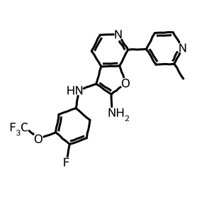 Cc1cc(-c2nccc3c(NC4C=C(OC(F)(F)F)C(F)=CC4)c(N)oc23)ccn1